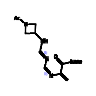 C=C(/N=C\N=C\NC1CN(C(C)=O)C1)C(=O)NC